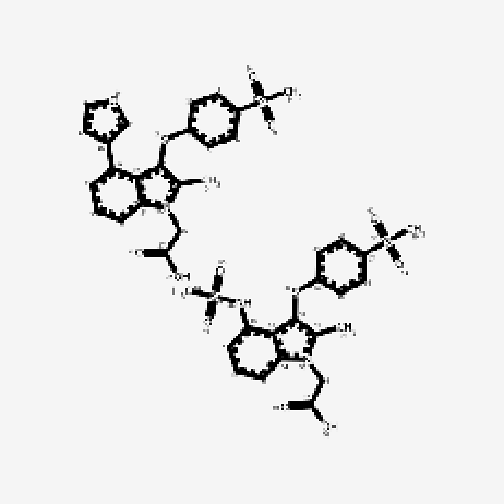 Cc1c(Sc2ccc(S(C)(=O)=O)cc2)c2c(-c3ccoc3)cccc2n1CC(=O)O.Cc1c(Sc2ccc(S(C)(=O)=O)cc2)c2c(NS(C)(=O)=O)cccc2n1CC(=O)O